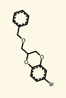 Brc1ccc2c(c1)OCC(COCc1ccccc1)O2